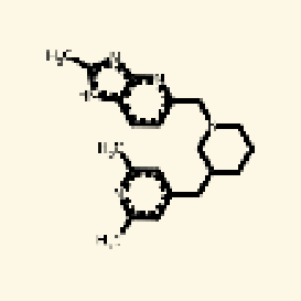 Cc1cc(CC2CCCN(Cc3ccc4[nH]c(C)nc4n3)C2)cc(C)n1